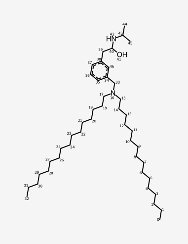 CCCCCCCCCCCCCCCCN(CCCCCCCCCCCCCCCC)Cc1cccc(CC(O)NC(C)C)c1